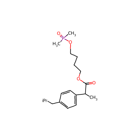 CC(C)Cc1ccc(C(C)C(=O)OCCCCOP(C)(C)=O)cc1